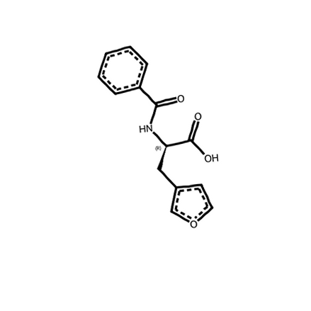 O=C(N[C@H](Cc1ccoc1)C(=O)O)c1ccccc1